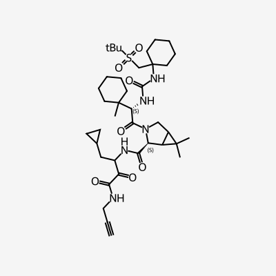 C#CCNC(=O)C(=O)C(CC1CC1)NC(=O)[C@@H]1C2C(CN1C(=O)[C@@H](NC(=O)NC1(CS(=O)(=O)C(C)(C)C)CCCCC1)C1(C)CCCCC1)C2(C)C